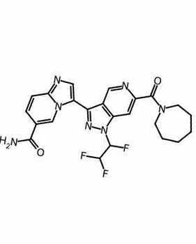 NC(=O)c1ccc2ncc(-c3nn(C(F)C(F)F)c4cc(C(=O)N5CCCCCC5)ncc34)n2c1